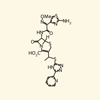 CON=C(C(=O)N[C@@H]1C(=O)N2C(C(=O)O)=C(C(C)Sc3nnc(-c4ccccn4)[nH]3)CS[C@@H]12)c1csc(N)n1